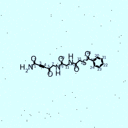 NC(=O)C#CC(=O)CNC(=O)CNC(=O)CSC(=O)c1ccccc1